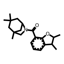 CC1Oc2c(C(=O)N3CC4(C)CC3CC(C)(C)C4)cccc2C1C